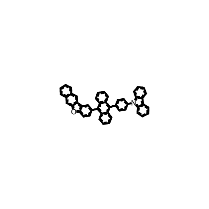 c1ccc2cc3c(cc2c1)oc1ccc(-c2c4ccccc4c(-c4ccc(-n5c6ccccc6c6ccccc65)cc4)c4ccccc24)cc13